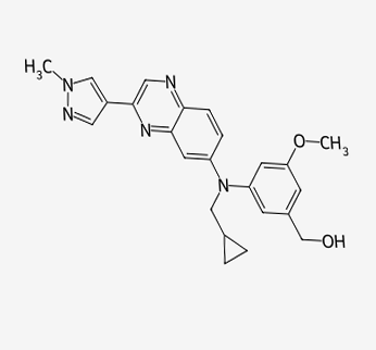 COc1cc(CO)cc(N(CC2CC2)c2ccc3ncc(-c4cnn(C)c4)nc3c2)c1